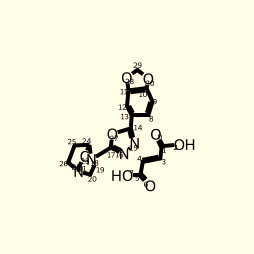 O=C(O)/C=C/C(=O)O.c1cc2c(cc1-c1nnc(N3CCN4CCC3CC4)o1)OCO2